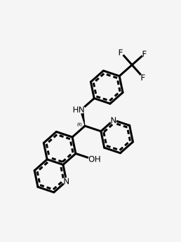 Oc1c([C@@H](Nc2ccc(C(F)(F)F)cc2)c2ccccn2)ccc2cccnc12